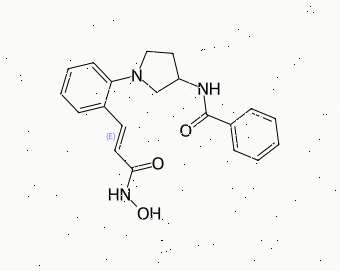 O=C(/C=C/c1ccccc1N1CCC(NC(=O)c2ccccc2)C1)NO